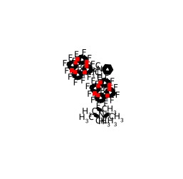 CCC(C)[NH+](C(C)CC)C(C)CC.C[NH+](C)c1ccccc1.Fc1c(F)c(F)c([B-](c2c(F)c(F)c(F)c(F)c2F)(c2c(F)c(F)c(F)c(F)c2F)c2c(F)c(F)c(F)c(F)c2F)c(F)c1F.Fc1c(F)c(F)c([B-](c2c(F)c(F)c(F)c(F)c2F)(c2c(F)c(F)c(F)c(F)c2F)c2c(F)c(F)c(F)c(F)c2F)c(F)c1F